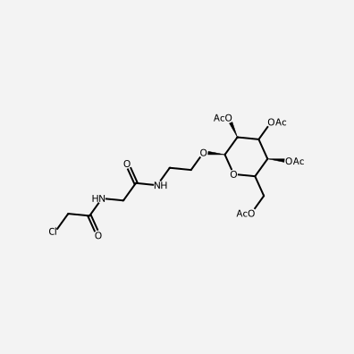 CC(=O)OCC1O[C@@H](OCCNC(=O)CNC(=O)CCl)[C@@H](OC(C)=O)C(OC(C)=O)[C@H]1OC(C)=O